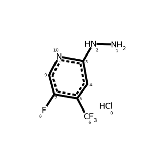 Cl.NNc1cc(C(F)(F)F)c(F)cn1